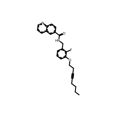 CCCCC#CCCOc1cccc(CNC(=O)c2ccc3ncccc3c2)c1F